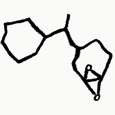 CC(C1CCCCC1)C1CCC23OC2(C1)O3